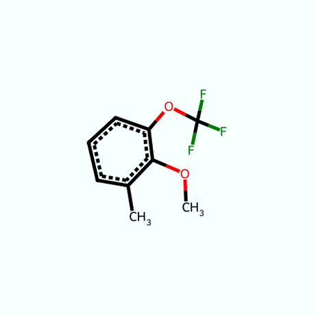 COc1c(C)cccc1OC(F)(F)F